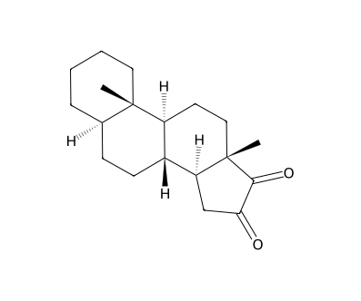 C[C@]12CCCC[C@@H]1CC[C@@H]1[C@@H]2CC[C@]2(C)C(=O)C(=O)C[C@@H]12